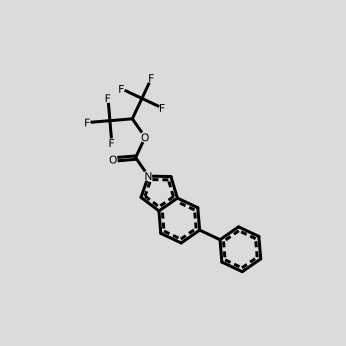 O=C(OC(C(F)(F)F)C(F)(F)F)n1cc2ccc(-c3ccccc3)cc2c1